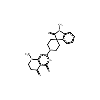 CN1CCC(=O)c2c1nc(N1CCC3(CC1)C(=O)N(C)c1ccccc13)[nH]c2=O